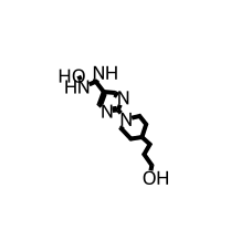 N=C(NO)c1cnc(N2CCC(CCCO)CC2)nc1